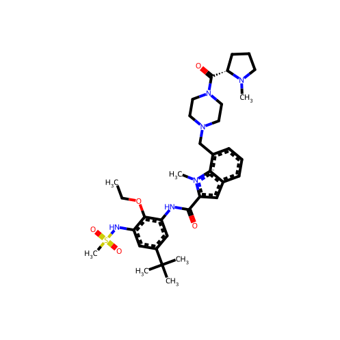 CCOc1c(NC(=O)c2cc3cccc(CN4CCN(C(=O)[C@@H]5CCCN5C)CC4)c3n2C)cc(C(C)(C)C)cc1NS(C)(=O)=O